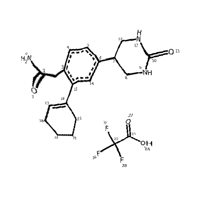 NC(=O)c1ccc(C2CNC(=O)NC2)cc1C1=CCCCC1.O=C(O)C(F)(F)F